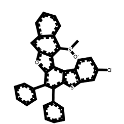 C[S+]([O-])c1c2ccccc2cc2oc3c(-c4ccccc4)c(-c4ccccc4)c4sc5cc(Cl)ccc5c4c3c12